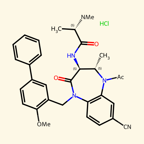 CN[C@@H](C)C(=O)N[C@@H]1C(=O)N(Cc2cc(-c3ccccc3)ccc2OC)c2ccc(C#N)cc2N(C(C)=O)[C@H]1C.Cl